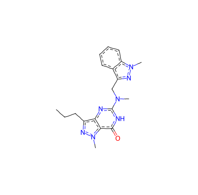 CCCc1nn(C)c2c(=O)[nH]c(N(C)Cc3nn(C)c4ccccc34)nc12